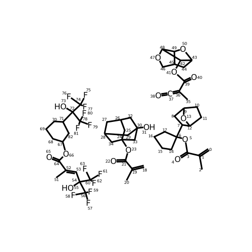 C=C(C)C(=O)OC1(C2CC3CCC2O3)CCCC1.C=C(C)C(=O)OC12CC3CC(CC(O)(C3)C1)C2.CC(=C=O)C(=O)OC1C2CC3COC1C3O2.CC(=CC(O)(C(F)(F)F)C(F)(F)F)C(=O)OC1CCCC(C(O)(C(F)(F)F)C(F)(F)F)C1